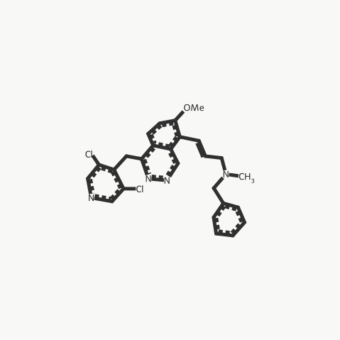 COc1ccc2c(Cc3c(Cl)cncc3Cl)nncc2c1C=CCN(C)Cc1ccccc1